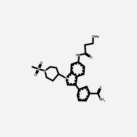 COCCC(=O)Nc1ccc2c(-c3cccc(C(N)=S)c3)cn(C3CCN(S(C)(=O)=O)CC3)c2c1